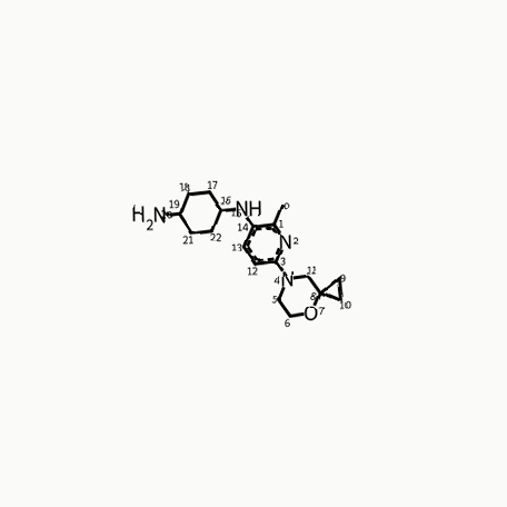 Cc1nc(N2CCOC3(CC3)C2)ccc1NC1CCC(N)CC1